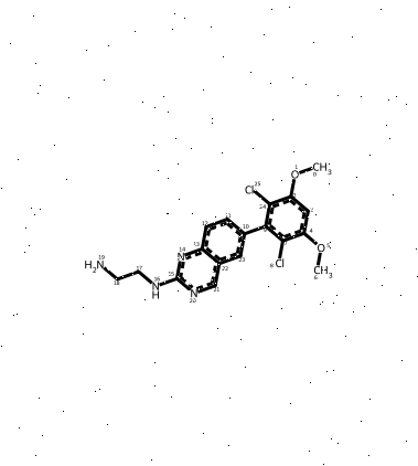 COc1cc(OC)c(Cl)c(-c2ccc3nc(NCCN)ncc3c2)c1Cl